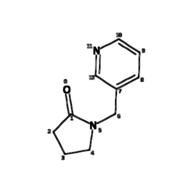 O=C1CCCN1Cc1cccnc1